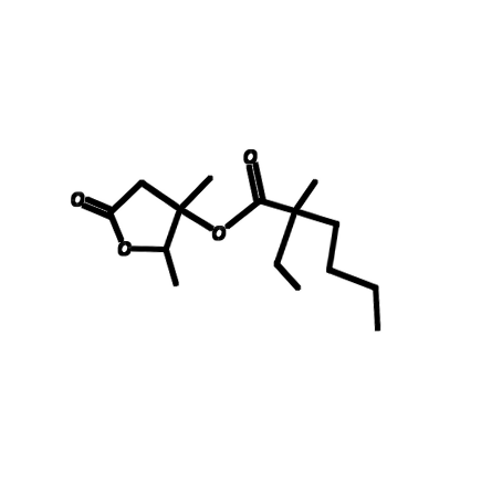 CCCCC(C)(CC)C(=O)OC1(C)CC(=O)OC1C